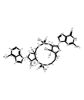 Nc1nc2c(ncn2[C@@H]2O[C@@H]3CCOP(=O)(O)O[C@H]4[C@@H](O)[C@H](n5cnc6c(N)ncnc65)O[C@@H]4COP(=O)(O)O[C@@H]2[C@@H]3O)c(=O)[nH]1